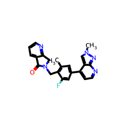 Cc1cc(-c2ccnc3nn(C)cc23)cc(F)c1CN1Cc2ncccc2C1=O